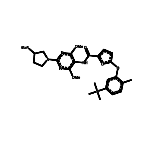 CNC1CCN(c2nc(OC)c(NC(=O)c3ccc(Oc4cc([Si](C)(C)C)ccc4C)o3)c(OC)n2)C1